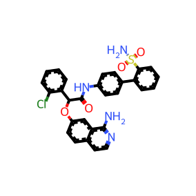 Nc1nccc2ccc(OC(C(=O)Nc3ccc(-c4ccccc4S(N)(=O)=O)cc3)c3ccccc3Cl)cc12